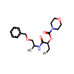 CC(C)CC(OC(=O)N1CCOCC1)C(=O)NC(C#N)COCc1ccccc1